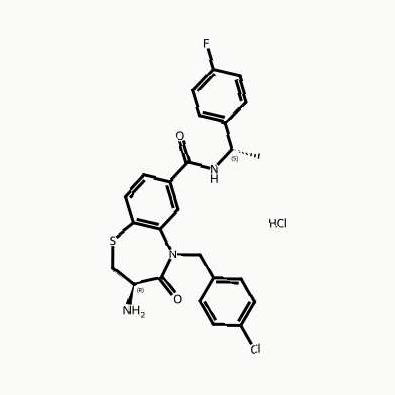 C[C@H](NC(=O)c1ccc2c(c1)N(Cc1ccc(Cl)cc1)C(=O)[C@@H](N)CS2)c1ccc(F)cc1.Cl